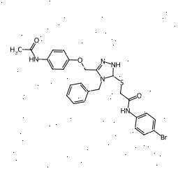 CC(=O)Nc1ccc(OCC2=NNC(SCC(=O)Nc3ccc(Br)cc3)N2Cc2ccccc2)cc1